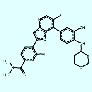 CN(C)C(=O)c1ccc(-c2cc3ncc(F)c(-c4ccc(NC5CCOCC5)c(C#N)c4)c3o2)c(F)c1